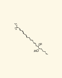 CCCCCC(O)C(O)CCCCCCC=CC=CC=CC(=O)OC